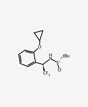 CC(C)(C)[S@+]([O-])N[C@H](c1ccccc1OC1CC1)C(F)(F)F